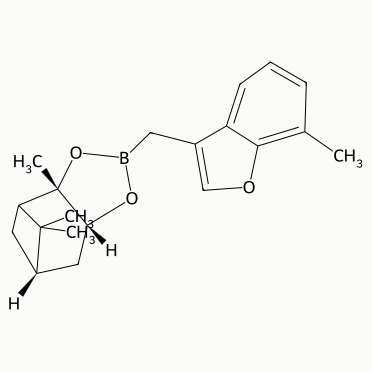 Cc1cccc2c(CB3O[C@@H]4C[C@@H]5CC(C5(C)C)[C@]4(C)O3)coc12